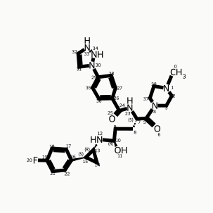 CN1CCN(C(=O)[C@H](CC[C@@H](O)N[C@@H]2C[C@H]2c2ccc(F)cc2)NC(=O)c2ccc(N3C=CNN3)cc2)CC1